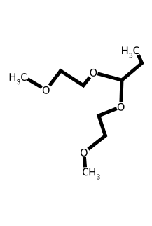 CCC(OCCOC)OCCOC